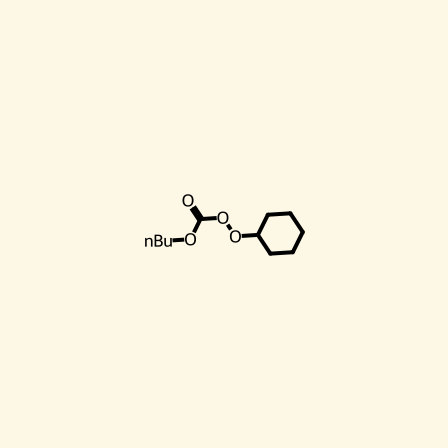 CCCCOC(=O)OOC1CCCCC1